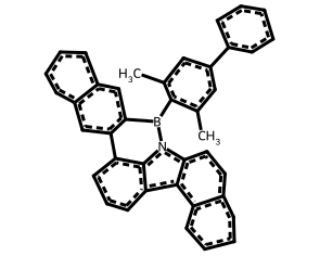 Cc1cc(-c2ccccc2)cc(C)c1B1c2cc3ccccc3cc2-c2cccc3c4c5ccccc5ccc4n1c23